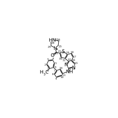 Cc1ccccc1-c1cccc(Nc2ncc3ccc4sc(C(=O)N5CCNCC5)cc4c3n2)c1